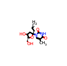 C=CC[C@]1(n2cc(C)c(=O)[nH]c2=O)C[C@H](O)[C@@H](CO)O1